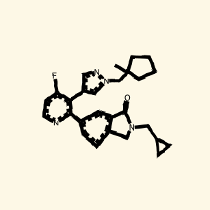 CC1(Cn2cc(-c3c(F)ccnc3-c3ccc4c(c3)C(=O)N(CC3CC3)C4)cn2)CCCC1